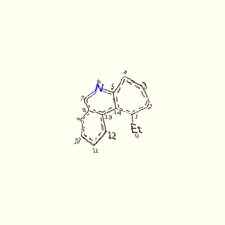 [CH2]Cc1cccc2ncc3ccccc3c12